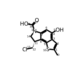 Cc1cc2c(O)cc3c(c2s1)[C@H](CCl)CN3C(=O)O